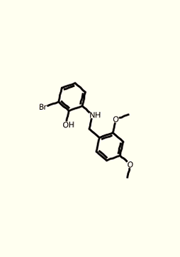 COc1ccc(CNc2cccc(Br)c2O)c(OC)c1